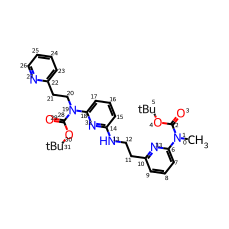 CN(C(=O)OC(C)(C)C)c1cccc(CCNc2cccc(N(CCc3ccccn3)C(=O)OC(C)(C)C)n2)n1